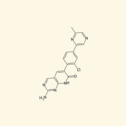 Cc1cncc(-c2ccc(-c3cc4cnc(N)nc4[nH]c3=O)c(Cl)c2)n1